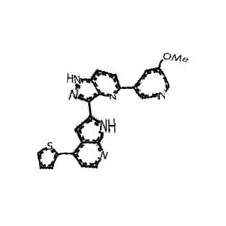 COc1cncc(-c2ccc3[nH]nc(-c4cc5c(-c6cccs6)ccnc5[nH]4)c3n2)c1